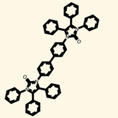 O=c1n(-c2ccccc2)c(-c2ccccc2)c(-c2ccccc2)n1-c1ccc(-c2ccc(-n3c(-c4ccccc4)c(-c4ccccc4)n(-c4ccccc4)c3=O)cc2)cc1